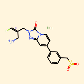 Cl.NC/C(=C\F)Cn1nc2cc(-c3cccc(C[SH](=O)=O)c3)ccn2c1=O